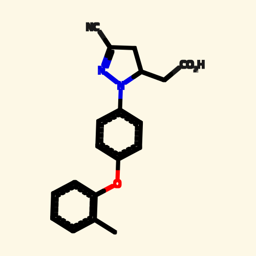 Cc1ccccc1Oc1ccc(N2N=C(C#N)CC2CC(=O)O)cc1